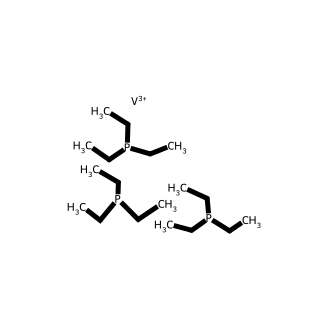 CCP(CC)CC.CCP(CC)CC.CCP(CC)CC.[V+3]